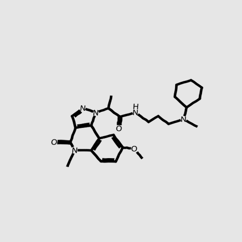 COc1ccc2c(c1)c1c(cnn1C(C)C(=O)NCCCN(C)C1CCCCC1)c(=O)n2C